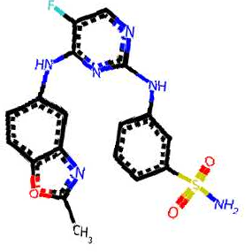 Cc1nc2cc(Nc3nc(Nc4cccc(S(N)(=O)=O)c4)ncc3F)ccc2o1